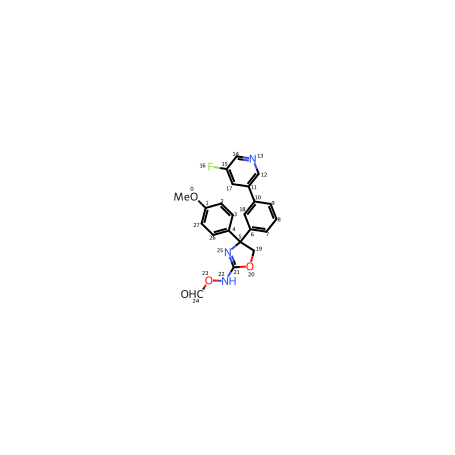 COc1ccc(C2(c3cccc(-c4cncc(F)c4)c3)COC(NOC=O)=N2)cc1